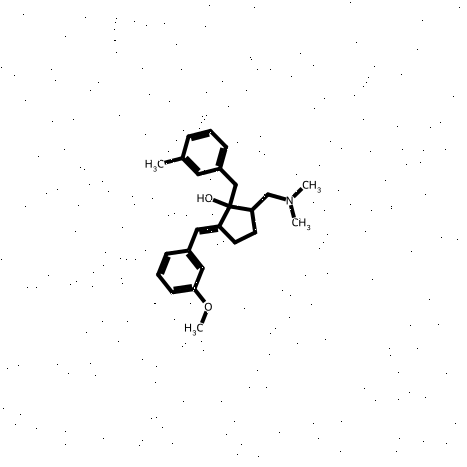 COc1cccc(/C=C2\CCC(CN(C)C)C2(O)Cc2cccc(C)c2)c1